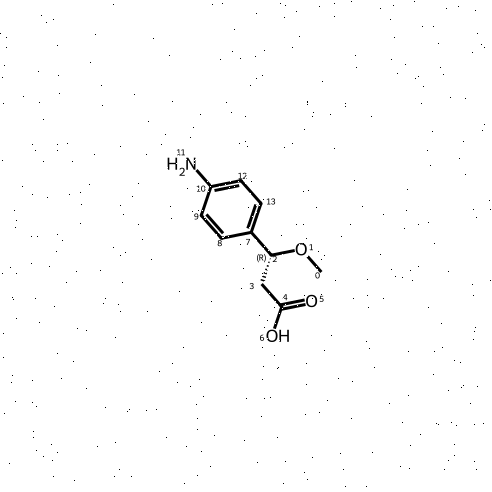 CO[C@H](CC(=O)O)c1ccc(N)cc1